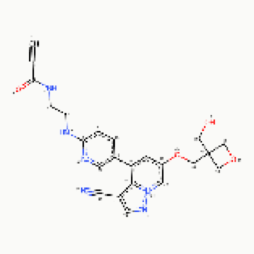 C#CC(=O)NCCNc1ccc(-c2cc(OCC3(CO)COC3)cn3ncc(C#N)c23)cn1